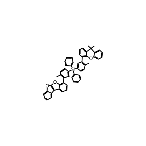 Cc1ccc([Si](c2ccccc2)(c2ccccc2)c2ccc(C)c(-c3cccc4c3oc3oc5ccccc5c34)c2)cc1-c1cccc2c1Oc1ccccc1C2(C)C